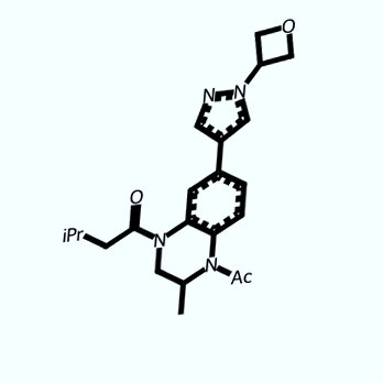 CC(=O)N1c2ccc(-c3cnn(C4COC4)c3)cc2N(C(=O)CC(C)C)CC1C